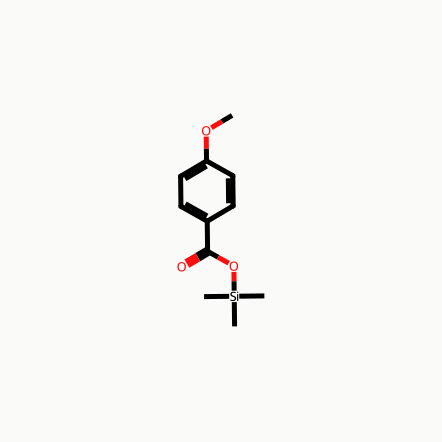 COc1ccc(C(=O)O[Si](C)(C)C)cc1